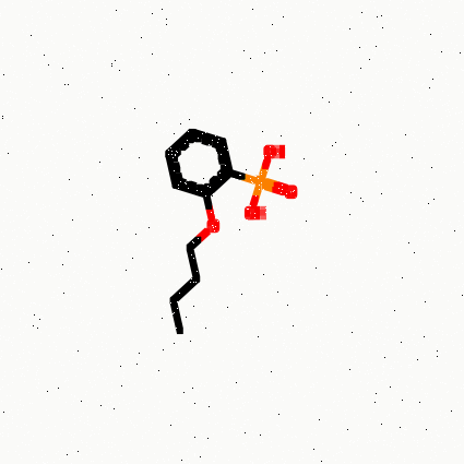 CCCCOc1ccccc1P(=O)(O)O